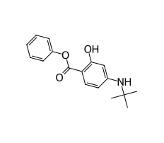 CC(C)(C)Nc1ccc(C(=O)Oc2ccccc2)c(O)c1